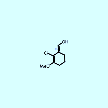 COC1=C(Cl)/C(=C/O)CCC1